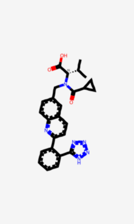 CC(C)[C@@H](C(=O)O)N(Cc1ccc2nc(-c3ccccc3-c3nnn[nH]3)ccc2c1)C(=O)C1CC1